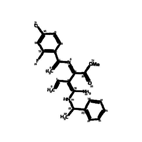 C=CC(/C(=N\C(=C)c1ccc(Cl)cc1F)C(=O)OC)=C(/N)NC(C)c1ccccc1